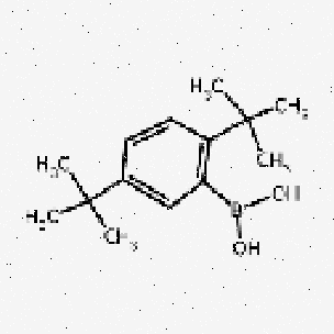 CC(C)(C)c1ccc(C(C)(C)C)c(B(O)O)c1